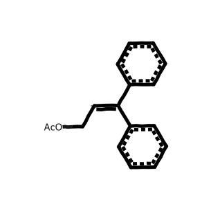 CC(=O)OC[C]=C(c1ccccc1)c1ccccc1